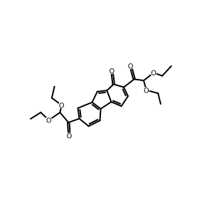 CCOC(OCC)C(=O)C1=CC=C2C(=Cc3cc(C(=O)C(OCC)OCC)ccc32)C1=O